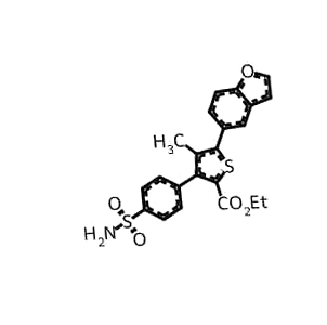 CCOC(=O)c1sc(-c2ccc3occc3c2)c(C)c1-c1ccc(S(N)(=O)=O)cc1